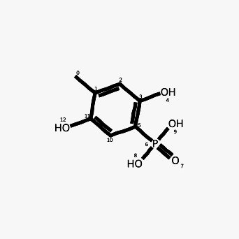 Cc1cc(O)c(P(=O)(O)O)cc1O